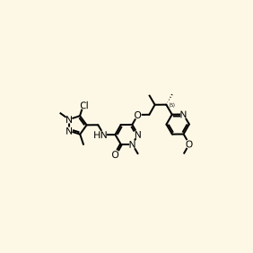 COc1ccc([C@@H](C)C(C)COc2cc(NCc3c(C)nn(C)c3Cl)c(=O)n(C)n2)nc1